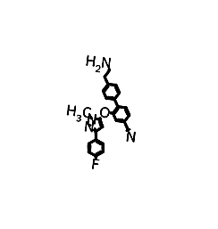 Cn1nc(-c2ccc(F)cc2)cc1Oc1cc(C#N)ccc1-c1ccc(CCN)cc1